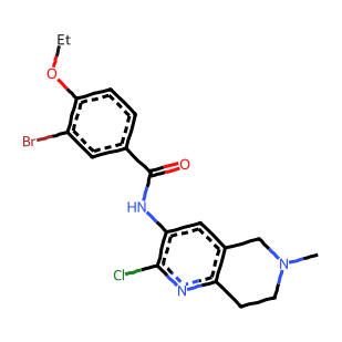 CCOc1ccc(C(=O)Nc2cc3c(nc2Cl)CCN(C)C3)cc1Br